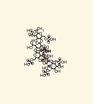 CO[C@H]1OC(COS(=O)(=O)O)[C@@H](O[C@@H]2OC(C(=O)O)[C@@H](O[C@H]3OC(COS(=O)(=O)O)[C@@H](O[C@@H]4O[C@@H](C(=O)O)[C@@H](O[C@H]5O[C@@H](COS(=O)(=O)O)[C@@H](O)C(O)C5NS(=O)(=O)O)C(O)[C@@H]4O)[C@H](OS(=O)(=O)O)C3NS(=O)(=O)O)C(O)[C@@H]2OS(=O)(=O)O)[C@H](O)C1NS(=O)(=O)O